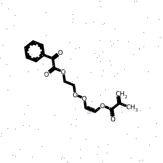 C=C(C)C(=O)O/C=C\OOCCOC(=O)C(=O)c1ccccc1